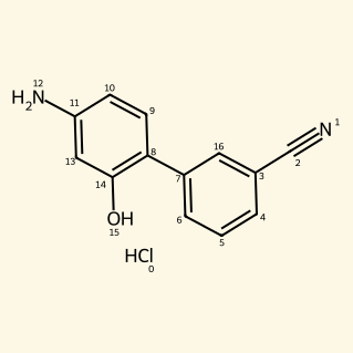 Cl.N#Cc1cccc(-c2ccc(N)cc2O)c1